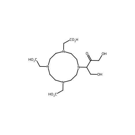 O=C(O)CN1CCN(CC(=O)O)CCN(C(CO)C(=O)CO)CCN(CC(=O)O)CC1